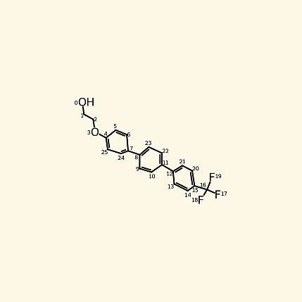 OCCOc1ccc(-c2ccc(-c3ccc(C(F)(F)F)cc3)cc2)cc1